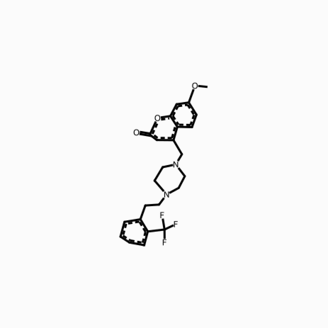 COc1ccc2c(CN3CCN(CCc4ccccc4C(F)(F)F)CC3)cc(=O)oc2c1